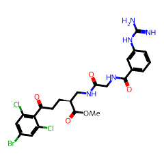 COC(=O)[C@@H](CCC(=O)c1c(Cl)cc(Br)cc1Cl)CNC(=O)CNC(=O)c1cccc(NC(=N)N)c1